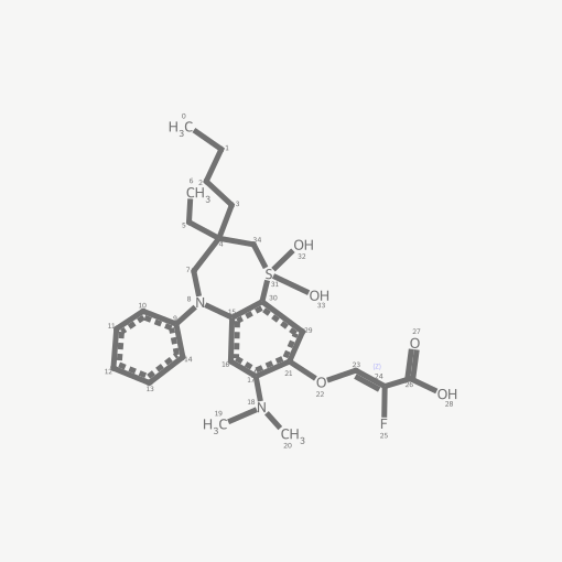 CCCCC1(CC)CN(c2ccccc2)c2cc(N(C)C)c(O/C=C(\F)C(=O)O)cc2S(O)(O)C1